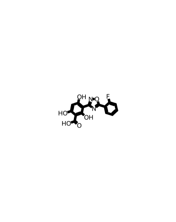 O=C(O)c1c(O)cc(O)c(-c2noc(-c3ccccc3F)n2)c1O